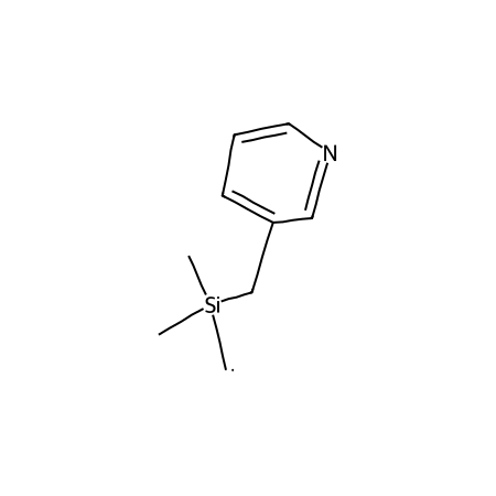 [CH2][Si](C)(C)Cc1cccnc1